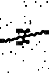 O=C(O)C(CCCCCCO)=C(CCCCCCO)C(=O)O